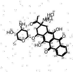 CC(=O)C1(N)Cc2c(O)c3c(c(O)c2C(O[C@H]2C[C@H](N)[C@@H](O)[C@@H](C)O2)C1)C(=O)c1ccccc1C3=O.Cl.Cl